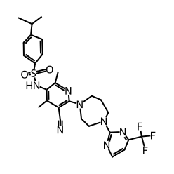 Cc1nc(N2CCCN(c3nccc(C(F)(F)F)n3)CC2)c(C#N)c(C)c1NS(=O)(=O)c1ccc(C(C)C)cc1